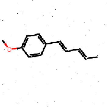 C/C=C/C=C/c1ccc(OC)cc1